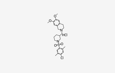 COc1cc2c(cc1OC)CN(CC1CCCN(S(=O)(=O)c3cc(C)c(Cl)cc3C)C1)CC2.Cl